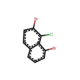 Clc1c(Br)ccc2cccc(Br)c12